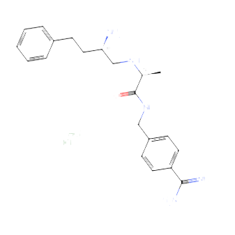 C[C@H](NC[C@H](N)CCc1ccccc1)C(=O)NCc1ccc(C(=N)N)cc1.Cl.Cl